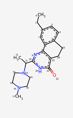 CCc1ccc2c(c1)-c1nc(C(C)N3CCN(C)CC3)[nH]c(=O)c1CC2